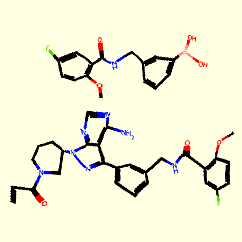 C=CC(=O)N1CCC[C@@H](n2nc(-c3cccc(CNC(=O)c4cc(F)ccc4OC)c3)c3c(N)ncnc32)C1.COc1ccc(F)cc1C(=O)NCc1cccc(B(O)O)c1